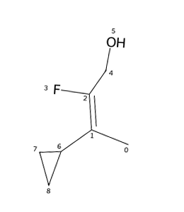 CC(=C(F)CO)C1CC1